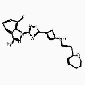 CC(C)c1nn(-c2noc(C3CC(NCCC4CCCCO4)C3)n2)c2c(F)cccc12